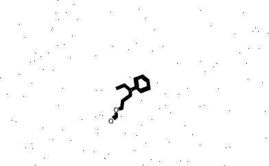 CCC(CCCOC=O)c1ccccc1